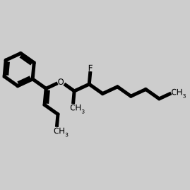 CCC=C(OC(C)C(F)CCCCCC)c1ccccc1